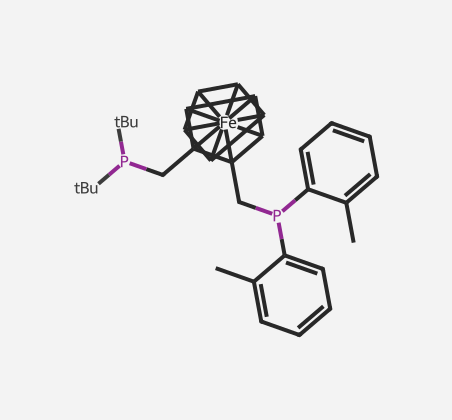 Cc1ccccc1P(C[C]12[CH]3[CH]4[CH]5[C]1(CP(C(C)(C)C)C(C)(C)C)[Fe]43521678[CH]2[CH]1[CH]6[CH]7[CH]28)c1ccccc1C